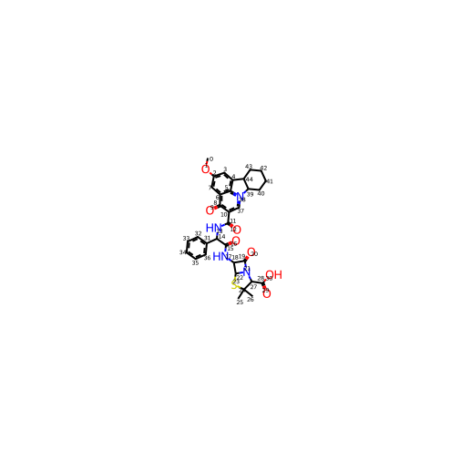 COc1cc2c3c(c1)c(=O)c(C(=O)NC(C(=O)NC1C(=O)N4C1SC(C)(C)C4C(=O)O)c1ccccc1)cn3C1CCCCC21